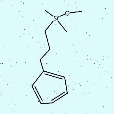 CO[Si](C)(C)CCCc1ccccc1